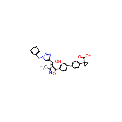 Cc1noc(-c2ccc(-c3ccc(C4(C(=O)O)CC4)cc3)cc2)c1[C@@H](O)c1cn(Cc2ccccc2)nn1